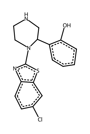 Oc1ccccc1C1CNCCN1c1nc2ccc(Cl)cc2s1